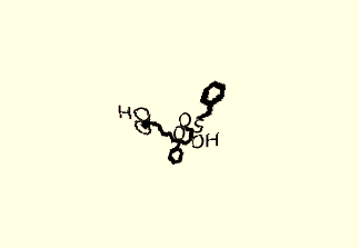 O=C(O)CCCCC1(c2ccccc2)CC(O)=C(SCCc2ccccc2)C(=O)O1